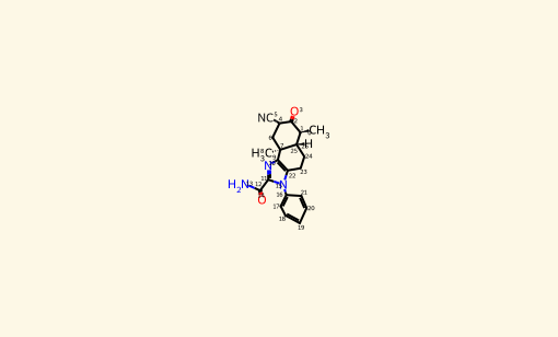 C[C@@H]1C(=O)C(C#N)C[C@]2(C)c3nc(C(N)=O)n(-c4ccccc4)c3CC[C@@H]12